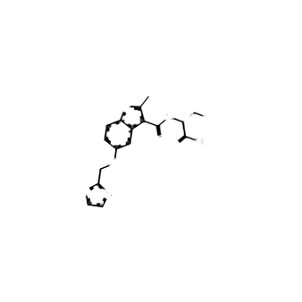 Cc1oc2ccc(OCc3nccs3)cc2c1C(=O)N[C@@H](CO)C(N)=O